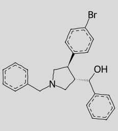 OC(c1ccccc1)[C@@H]1CN(Cc2ccccc2)C[C@H]1c1ccc(Br)cc1